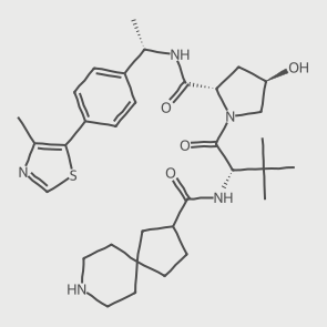 Cc1ncsc1-c1ccc([C@H](C)NC(=O)[C@@H]2C[C@@H](O)CN2C(=O)[C@@H](NC(=O)C2CCC3(CCNCC3)C2)C(C)(C)C)cc1